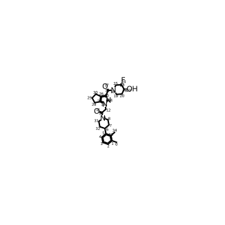 Cc1cccc(C2CCN(C(=O)Cn3nc(C(=O)N4CC[C@@H](O)[C@@H](F)C4)c4c3CCC4)CC2)c1C